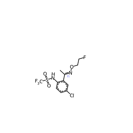 C/C(=N\OCCF)c1cc(Cl)ccc1NS(=O)(=O)C(F)(F)F